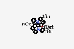 CCCCCCCCC1(CCCCCCCC)c2ccccc2-c2c(N(c3ccccc3)c3ccc(C(C)(C)C)cc3)c3c(c(N(c4ccccc4)c4ccc(C(C)(C)C)cc4)c21)-c1ccccc1C3(CCCCCCCC)CCCCCCCC